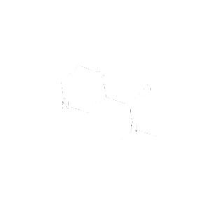 CN(C)C(=O)C1=CNCCS1